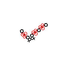 CC1(C)CC2(CC(C)(C)c3cc(OC(=O)Oc4cccc(OC(=O)Oc5ccccc5)c4)ccc32)c2ccc(OC(=O)Oc3ccccc3)cc21